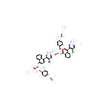 CC[C@H](F)Nc1cc(F)c(C(=O)N[C@@H](Cc2ccc(-c3c(C(F)(F)F)cc(OC(=O)[C@H](Cc4ccc(-c5c(C(F)(F)F)cc(C)n(C)c5=O)c5ccccc45)NC(=O)c4c(F)cc(N[C@@H](F)CC)cc4F)n(C)c3=O)c3ccccc23)C(=O)OC)c(F)c1